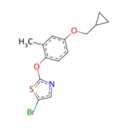 Cc1cc(OCC2CC2)ccc1Oc1ncc(Br)s1